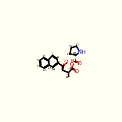 CC(CC(=O)c1ccc2ccccc2c1)C(=O)OC(=O)[C@@H]1CCCN1